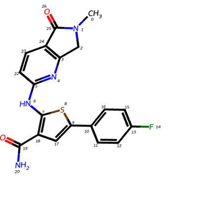 CN1Cc2nc(Nc3sc(-c4ccc(F)cc4)cc3C(N)=O)ccc2C1=O